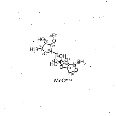 B[C@@H]1O[C@H](COP2(O)(O)OC3C(O2)[C@@H](COC)O[C@H]3B)C(OCC)C1O